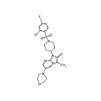 Cn1c(=O)n(C2CCN(S(=O)(=O)c3ccc(F)cc3Cl)CC2)c2ncc(N3CCOCC3)cc21